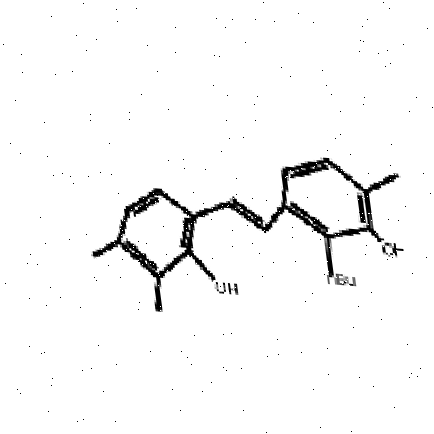 CCCCc1c(/C=C/c2ccc(C)c(C)c2O)ccc(C)c1O